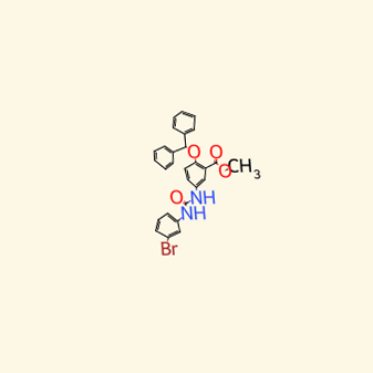 COC(=O)c1cc(NC(=O)Nc2cccc(Br)c2)ccc1OC(c1ccccc1)c1ccccc1